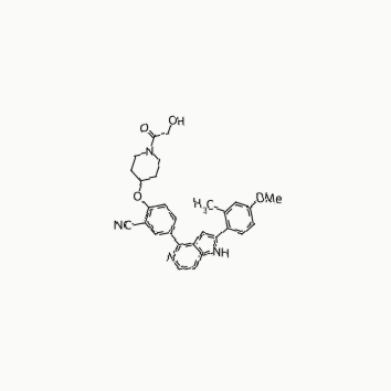 COc1ccc(-c2cc3c(-c4ccc(OC5CCN(C(=O)CO)CC5)c(C#N)c4)nccc3[nH]2)c(C)c1